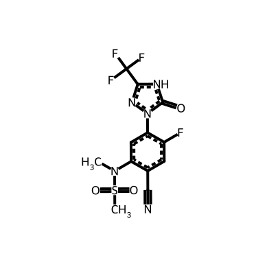 CN(c1cc(-n2nc(C(F)(F)F)[nH]c2=O)c(F)cc1C#N)S(C)(=O)=O